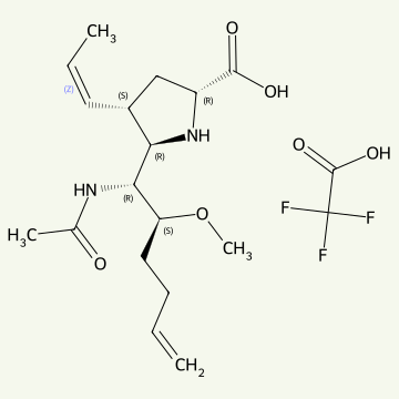 C=CCC[C@H](OC)[C@H](NC(C)=O)[C@@H]1N[C@@H](C(=O)O)C[C@H]1/C=C\C.O=C(O)C(F)(F)F